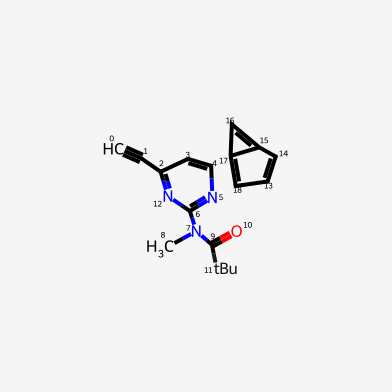 C#Cc1ccnc(N(C)C(=O)C(C)(C)C)n1.c1cc2cc-2c1